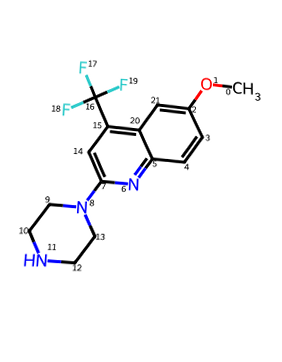 COc1ccc2nc(N3CCNCC3)cc(C(F)(F)F)c2c1